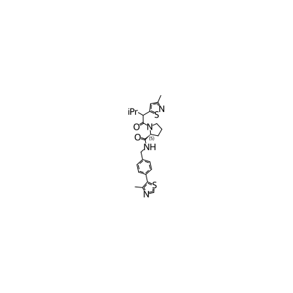 Cc1cc(C(C(=O)N2CCC[C@H]2C(=O)NCc2ccc(-c3scnc3C)cc2)C(C)C)sn1